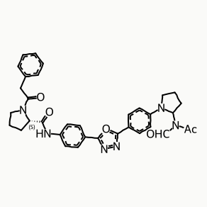 CC(=O)N(C=O)C1CCCN1c1ccc(-c2nnc(-c3ccc(NC(=O)[C@@H]4CCCN4C(=O)Cc4ccccc4)cc3)o2)cc1